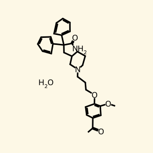 COc1cc(C(C)=O)ccc1OCCCN1CCCC(CC(C(N)=O)(c2ccccc2)c2ccccc2)C1.O